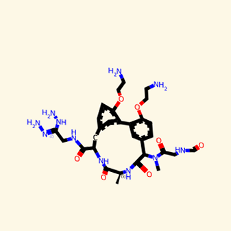 C[C@@H]1NC(=O)C(N(C)C(=O)CNC=O)c2ccc(OCCN)c(c2)-c2cc(ccc2OCCN)CC(C(=O)NC/C(=N/N)NN)NC1=O